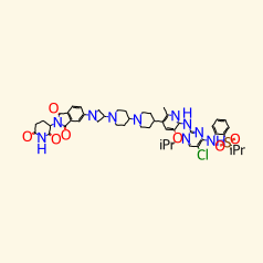 Cc1nc(Nc2ncc(Cl)c(Nc3ccccc3S(=O)(=O)C(C)C)n2)c(OC(C)C)cc1C1CCN(C2CCN(C3CN(c4ccc5c(c4)C(=O)N(C4CCC(=O)NC4=O)C5=O)C3)CC2)CC1